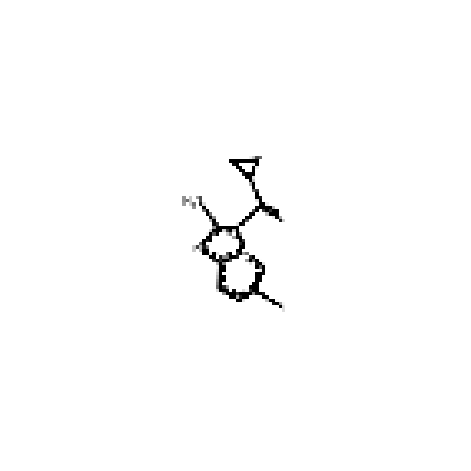 Nc1nc2ccc(I)cn2c1C(=O)C1CC1